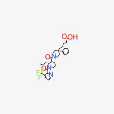 CCC[C@@H]1C(C(=O)N2CCC(CCCCC(=O)O)(c3ccccc3)CC2)CCCN1C(=O)c1ncccc1C(F)(F)F